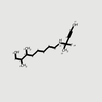 CC(CO)C(C)CCCCCNC(C)(F)C#CO